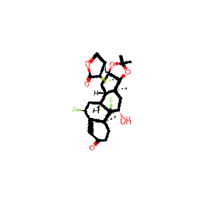 CC1(C)O[C@@H]2C[C@H]3[C@@H]4C[C@H](F)C5=CC(=O)CC[C@]5(C)[C@@]4(F)[C@@H](O)C[C@]3(C)[C@]2(SC2CCOC2=O)O1